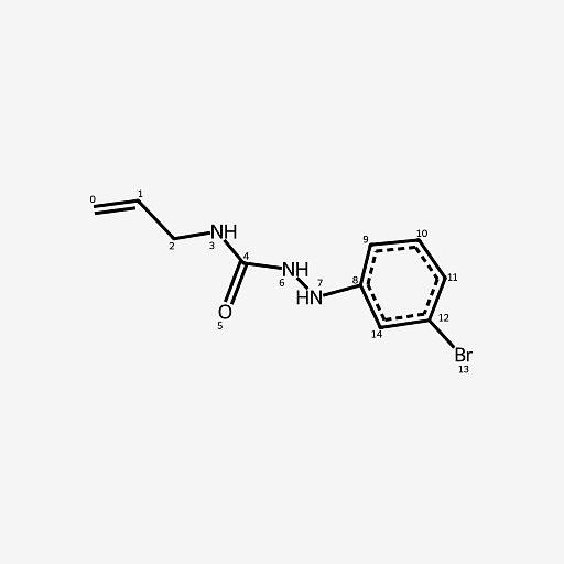 C=CCNC(=O)NNc1cccc(Br)c1